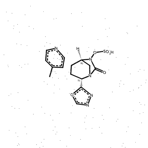 Cc1ccncc1.O=C1N2C[C@@H](CC[C@H]2c2nnco2)N1OS(=O)(=O)O